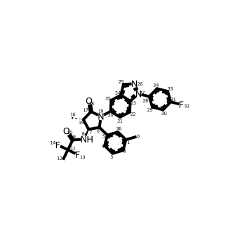 Cc1cccc(C2[C@@H](NC(=O)C(C)(F)F)[C@H](C)C(=O)N2c2ccc3c(cnn3-c3ccc(F)cc3)c2)c1